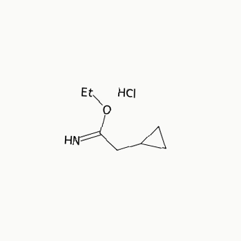 CCOC(=N)CC1CC1.Cl